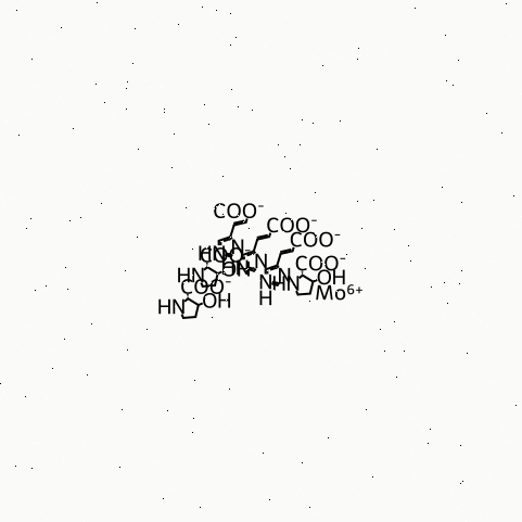 O=C([O-])C=Cc1c[nH]cn1.O=C([O-])C=Cc1c[nH]cn1.O=C([O-])C=Cc1c[nH]cn1.O=C([O-])[C@H]1NCCC1O.O=C([O-])[C@H]1NCCC1O.O=C([O-])[C@H]1NCCC1O.[Mo+6]